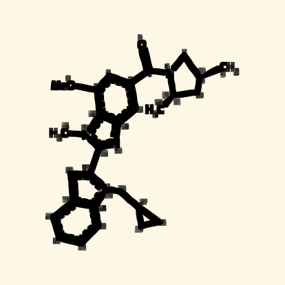 COc1cc(C(=O)N2C[C@@H](C)C[C@H]2C)cc2nc(-c3cc4ccccc4n3CC3CC3)n(C)c12